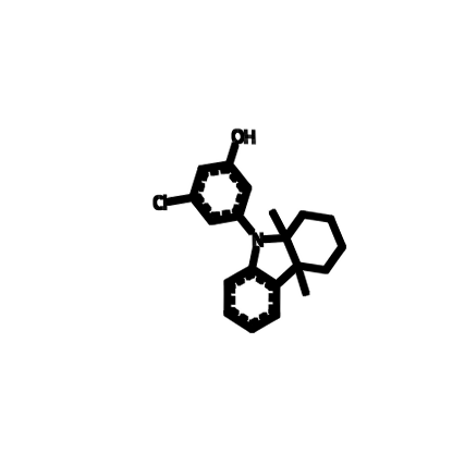 CC12CCCCC1(C)N(c1cc(O)cc(Cl)c1)c1ccccc12